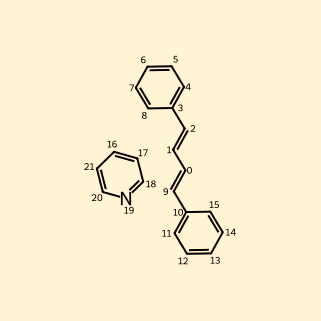 C(/C=C/c1ccccc1)=C\c1ccccc1.c1ccncc1